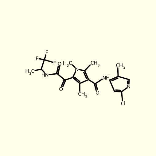 Cc1cnc(Cl)cc1NC(=O)c1c(C)c(C(=O)C(=O)NC(C)C(F)(F)F)n(C)c1C